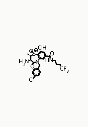 C[C@@H]1[C@H](N)C(=O)N(Cc2ccc(Cl)cc2)c2cc(C(=O)NCCCC(F)(F)F)ccc2S1(=O)=O.Cl